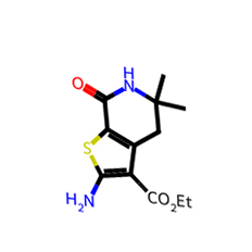 CCOC(=O)c1c(N)sc2c1CC(C)(C)NC2=O